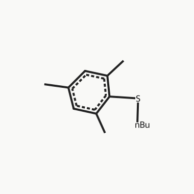 [CH2]CCCSc1c(C)cc(C)cc1C